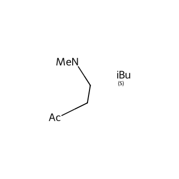 CC[C@H](C)C(CC(C)=O)NC